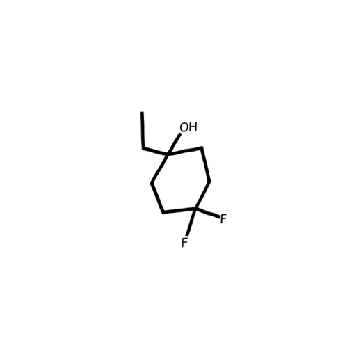 CCC1(O)CCC(F)(F)CC1